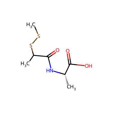 CSSC(C)C(=O)N[C@@H](C)C(=O)O